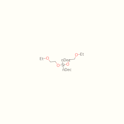 CCCCCCCCCC[Si](CCCCCCCCCC)(OCCOCC)OCCOCC